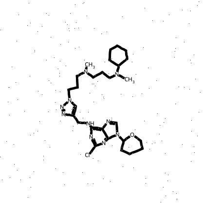 CN(CCCN(C)C1CCCCC1)CCCn1cc(CNc2nc(Cl)nc3c2ncn3C2CCCCO2)nn1